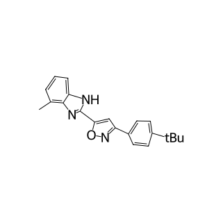 Cc1cccc2[nH]c(-c3cc(-c4ccc(C(C)(C)C)cc4)no3)nc12